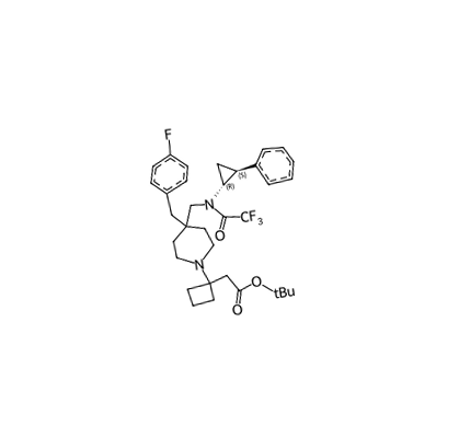 CC(C)(C)OC(=O)CC1(N2CCC(Cc3ccc(F)cc3)(CN(C(=O)C(F)(F)F)[C@@H]3C[C@H]3c3ccccc3)CC2)CCC1